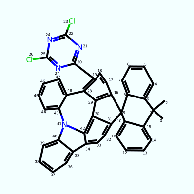 CC1(C)c2ccccc2C2(c3ccccc31)c1ccc(-c3nc(Cl)nc(Cl)n3)c3c1-c1c2ccc2c4ccccc4n(c12)-c1ccccc1-3